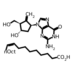 C=C1[C@H](CO)[C@@H](O)C[C@@H]1n1cnc2c(=O)[nH]c(N)nc21.CCCCCCCC/C=C\CCCCCCCC(=O)O